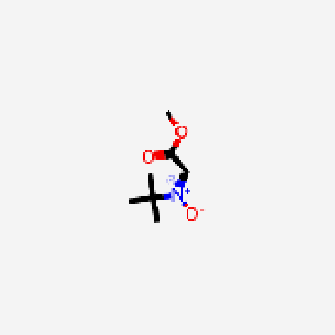 COC(=O)/C=[N+](/[O-])C(C)(C)C